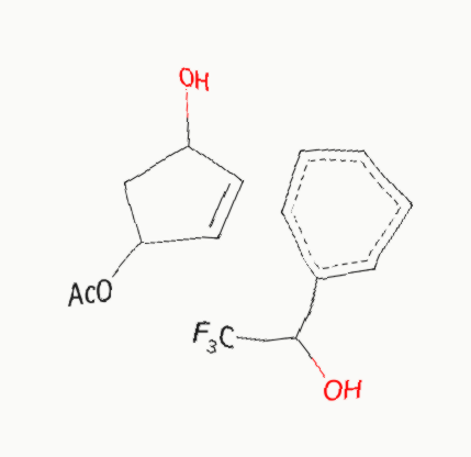 CC(=O)OC1C=CC(O)C1.OC(c1ccccc1)C(F)(F)F